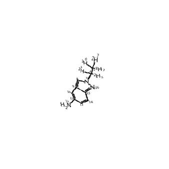 [2H]C([2H])([2H])C([2H])([2H])n1cc2cc(N)ccc2n1